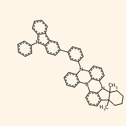 CC12CCCCC1(C)N1c3cccc4c3B(c3ccccc3N4c3cccc(-c4ccc5c(c4)c4ccccc4n5-c4ccccc4)c3)c3cccc2c31